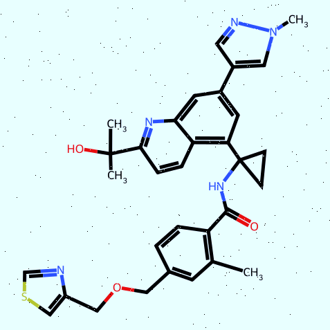 Cc1cc(COCc2cscn2)ccc1C(=O)NC1(c2cc(-c3cnn(C)c3)cc3nc(C(C)(C)O)ccc23)CC1